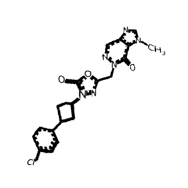 Cn1cnc2cnn(Cc3nn(C4CC(c5ccc(Cl)cc5)C4)c(=O)o3)c(=O)c21